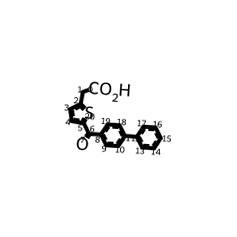 O=C(O)Cc1ccc(C(=O)c2ccc(-c3ccccc3)cc2)s1